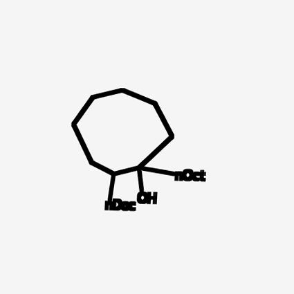 CCCCCCCCCCC1CCCCCCC1(O)CCCCCCCC